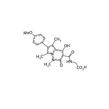 COc1ccc(-c2c(C)c3c(O)c(C(=O)NCC(=O)O)c(=O)n(C)n3c2C)cc1